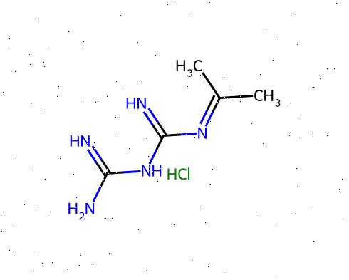 CC(C)=NC(=N)NC(=N)N.Cl